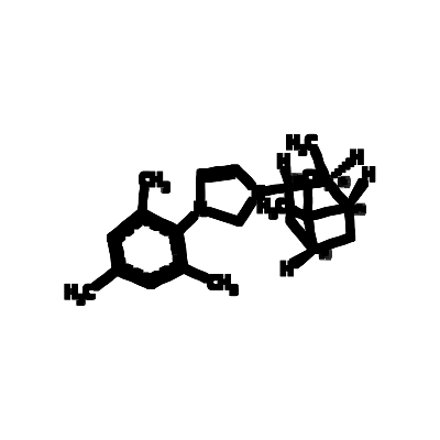 Cc1cc(C)c(N2C=CN([C@H]3C[C@H]4C[C@@H]([C@@H]3C)C4(C)C)C2)c(C)c1